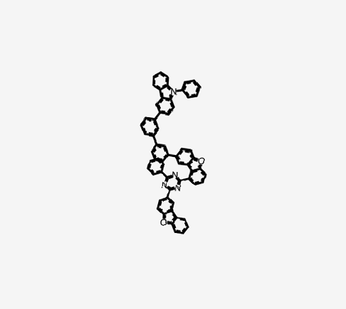 c1ccc(-c2nc(-c3ccc4oc5ccccc5c4c3)nc(-c3cccc4oc5ccc(-c6cccc(-c7cccc(-c8ccc9c(c8)c8ccccc8n9-c8ccccc8)c7)c6)cc5c34)n2)cc1